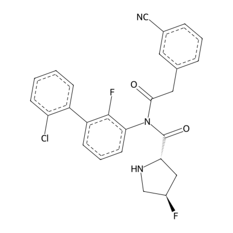 N#Cc1cccc(CC(=O)N(C(=O)[C@@H]2C[C@@H](F)CN2)c2cccc(-c3ccccc3Cl)c2F)c1